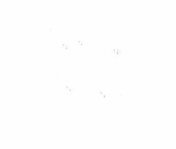 O=[N+]([O-])C(=C1NCCN1[N+](=O)[O-])[N+](=O)[O-]